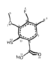 COc1c(F)c(F)cc(C(=O)O)c1S